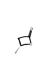 C[C@@H]1CC(=O)O1